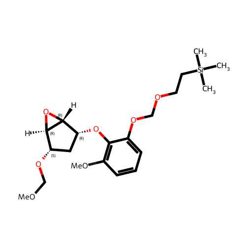 COCO[C@H]1C[C@@H](Oc2c(OC)cccc2OCOCC[Si](C)(C)C)[C@H]2O[C@@H]21